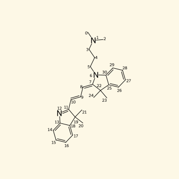 CN(C)CCCN1/C(=C/C=C/C2=Nc3ccccc3C2(C)C)C(C)(C)c2ccccc21